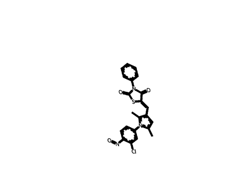 Cc1cc(C=C2SC(=O)N(c3ccccc3)C2=O)c(C)n1-c1ccc(N=O)c(Cl)c1